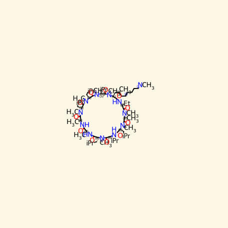 CC[C@@H]1NC(=O)[C@H](C[C@H](C)C/C=C/CC/C=N/C)N(C)C(=O)[C@H](C(C)C)N(C)C(=O)[C@H](CC(C)C)N(C)C(=O)[C@H](CC(C)C)N(C)C(=O)[C@H](C)NC(=O)[C@@H](C)NC(=O)[C@@H](CC(C)C)N(C)C(=O)[C@@H](C(C)C)NC(=O)[C@H](CC(C)C)N(C)C(=O)[C@@H](C)N(C)C1=O